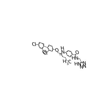 CCCC[C@@H](COc1ccc(-c2ccc(Cl)cc2Cl)c(Cl)c1)Nc1ccc(C(=O)NCc2nnn[nH]2)cc1